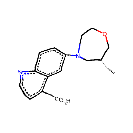 C[C@H]1COCCN(c2ccc3nccc(C(=O)O)c3c2)C1